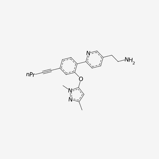 CCCC#Cc1ccc(-c2ccc(CCN)cn2)c(Oc2cc(C)nn2C)c1